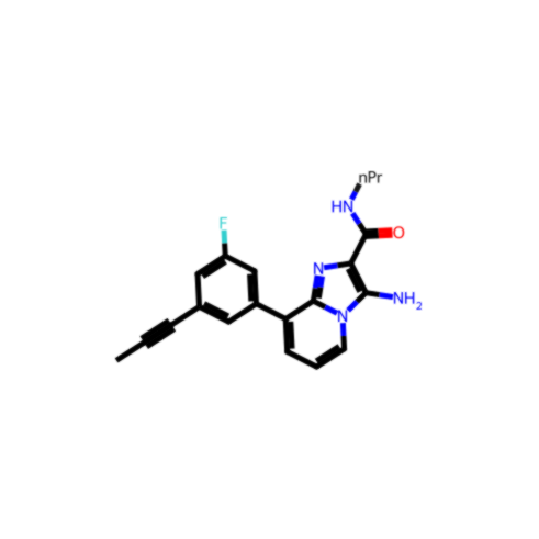 CC#Cc1cc(F)cc(-c2cccn3c(N)c(C(=O)NCCC)nc23)c1